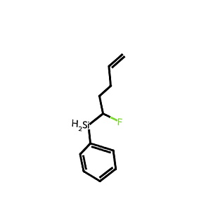 C=CCCC(F)[SiH2]c1ccccc1